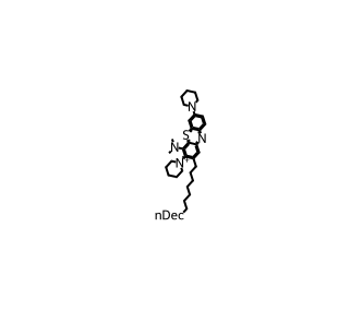 CCCCCCCCCCCCCCCCCc1cc2nc3ccc(N4CCCCC4)cc3sc-2c(N(C)C)c1=[N+]1CCCCC1